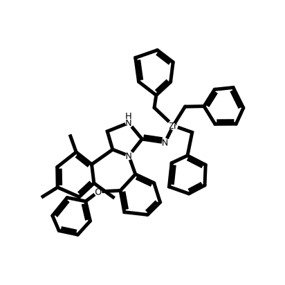 Cc1cc(C)c(C2CNC(=[N][Zr]([CH2]c3ccccc3)([CH2]c3ccccc3)[CH2]c3ccccc3)N2c2ccccc2Oc2ccccc2)c(C)c1